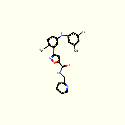 Cc1ccc(Nc2cc(C#N)cc(C(C)(C)C)c2)cc1-c1cc(C(=O)NCc2ccccn2)on1